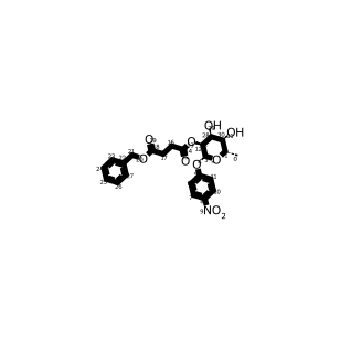 C[C@@H]1O[C@H](Oc2ccc([N+](=O)[O-])cc2)[C@@H](OC(=O)CCC(=O)OCc2ccccc2)[C@H](O)[C@@H]1O